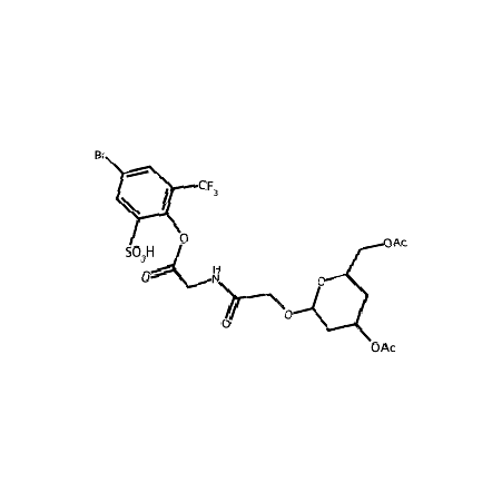 CC(=O)OCC1CC(OC(C)=O)CC(OCC(=O)NCC(=O)Oc2c(C(F)(F)F)cc(Br)cc2S(=O)(=O)O)O1